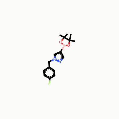 CC1(C)OB(c2cnn(Cc3ccc(F)cc3)c2)OC1(C)C